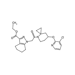 CCOC(=O)c1nn(CC(=O)N2CCC(Oc3ncccc3Cl)CC23CC3)c2c1CCCC2